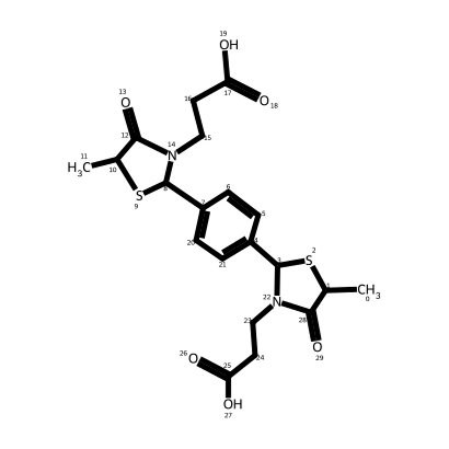 CC1SC(c2ccc(C3SC(C)C(=O)N3CCC(=O)O)cc2)N(CCC(=O)O)C1=O